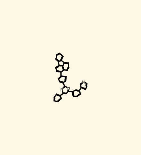 c1ccc(-c2cc(-c3cccc(-c4cccnc4)c3)nc(-c3ccc(-c4ccc5c6c(cccc46)-c4ccccc4-5)cc3)n2)cc1